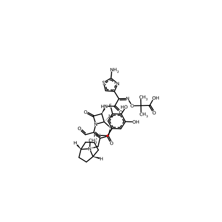 CC(C)(O/N=C(\C(=O)N[C@@H]1C(=O)N2C(C=O)=C(C[N+]3(C)[C@@H]4CC[C@H]3C[C@@H](NC(=O)c3cc(O)c(O)c(F)c3)C4)CS[C@H]12)c1csc(N)n1)C(=O)O